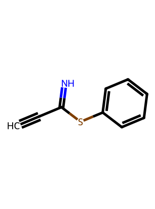 C#CC(=N)Sc1ccccc1